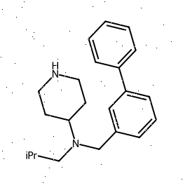 CC(C)CN(Cc1cccc(-c2ccccc2)c1)C1CCNCC1